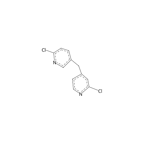 Clc1ccc(Cc2ccnc(Cl)c2)cn1